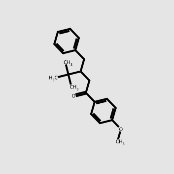 COc1ccc(C(=O)CC(Cc2ccccc2)C(C)(C)C)cc1